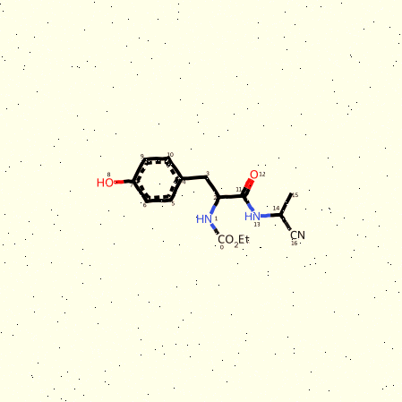 CCOC(=O)NC(Cc1ccc(O)cc1)C(=O)NC(C)C#N